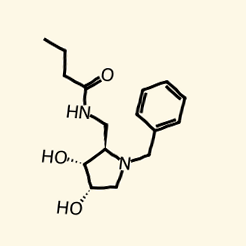 CCCC(=O)NC[C@@H]1[C@@H](O)[C@@H](O)CN1Cc1ccccc1